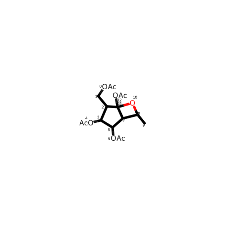 CC(=O)OCC1C(OC(C)=O)C(OC(C)=O)C2C(C)OC12OC(C)=O